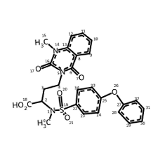 CN(C(CCn1c(=O)c2ccccc2n(C)c1=O)C(=O)O)S(=O)(=O)c1ccc(Oc2ccccc2)cc1